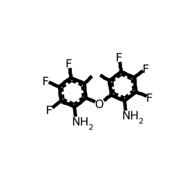 Cc1c(F)c(F)c(F)c(N)c1Oc1c(C)c(F)c(F)c(F)c1N